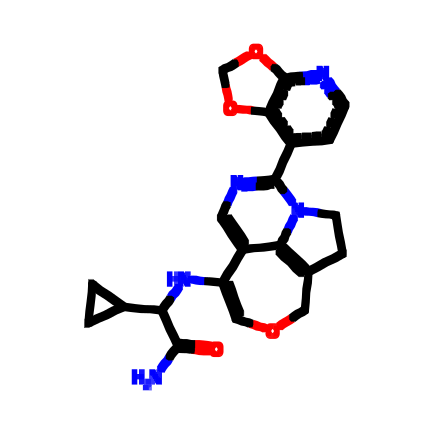 NC(=O)C(NC1=COCC2=C3C1=CN=C(c1ccnc4c1OCO4)N3CC2)C1CC1